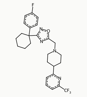 Fc1ccc(C2(c3noc(CN4CCC(c5cccc(C(F)(F)F)n5)CC4)n3)CCCCC2)cc1